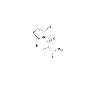 CCC1CC[C@@H](CC)N1C(=O)C(C)C(C)OC